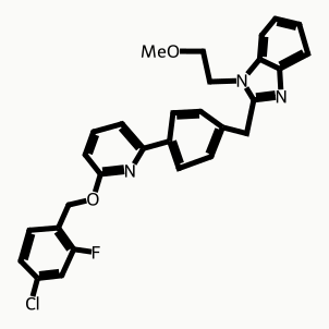 COCCn1c(Cc2ccc(-c3cccc(OCc4ccc(Cl)cc4F)n3)cc2)nc2ccccc21